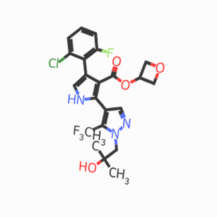 CC(C)(O)Cn1ncc(-c2[nH]cc(-c3c(F)cccc3Cl)c2C(=O)OC2COC2)c1C(F)(F)F